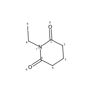 O=C1CCCC(=O)N1CI